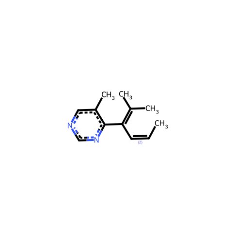 C/C=C\C(=C(C)C)c1ncncc1C